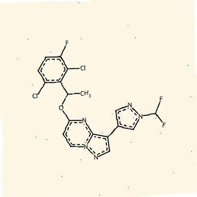 CC(Oc1ccn2ncc(-c3cnn(C(F)F)c3)c2n1)c1c(Cl)ccc(F)c1Cl